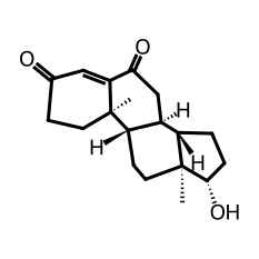 C[C@]12CC[C@H]3[C@@H](CC(=O)C4=CC(=O)CC[C@@]43C)[C@@H]1CC[C@@H]2O